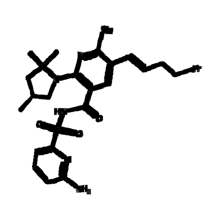 CC(C)CCC=Cc1cc(C(=O)NS(=O)(=O)c2cccc(N)n2)c(N2C[C@@H](C)CC2(C)C)nc1C(C)(C)C